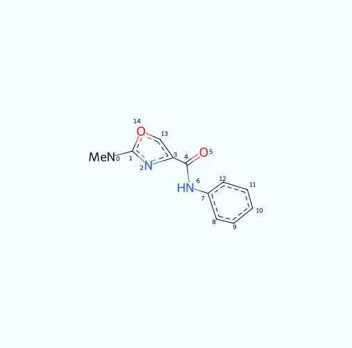 CNc1nc(C(=O)Nc2ccccc2)co1